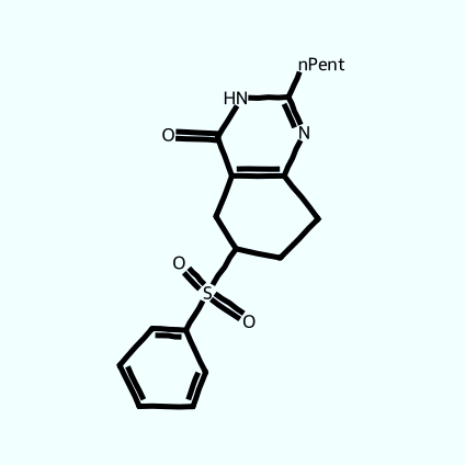 CCCCCc1nc2c(c(=O)[nH]1)CC(S(=O)(=O)c1ccccc1)CC2